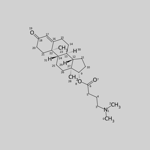 CN(C)CCCC(=O)O[C@H]1CC[C@H]2[C@@H]3CCC4=CC(=O)CC[C@]4(C)[C@H]3CC[C@]12C